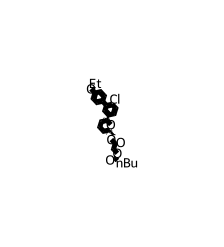 CCCCC(=O)OCC(=O)OC[C@H]1CCC[C@@H](c2ccc(Cl)c(-c3ccc(OCC)cc3)c2)O1